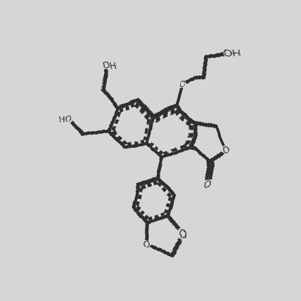 O=C1OCc2c1c(-c1ccc3c(c1)OCO3)c1cc(CO)c(CO)cc1c2OCCO